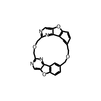 c1cc2oc3cnc4nc3c2cc1COCc1ccc2oc3cnc(nc3c2c1)COC4